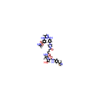 Cc1cnc(Nc2ccc(N3CCN(C(=O)CCCC(=O)N[C@H](C(=O)N4C[C@H](O)C[C@H]4C(=O)NCc4ccc(-c5scnc5C)cc4)C(C)(C)C)CC3)cc2)nc1Nc1cccc(S(=O)(=O)NC(C)(C)C)c1